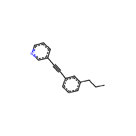 CCCc1cccc(C#Cc2cccnc2)c1